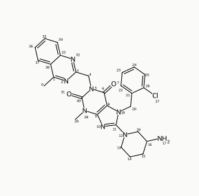 Cc1nc(Cn2c(=O)c3c(nc(N4CCCC(N)C4)n3Cc3ccccc3Cl)n(C)c2=O)nc2ccccc12